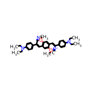 [C-]#[N+]/C(=C\c1cc(OC)c(/C=C(\C#N)c2ccc(N(CC)CC)cc2)cc1OC)c1ccc(N(CC)CC)cc1